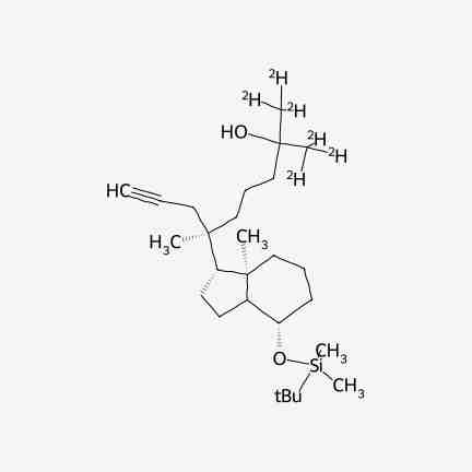 [2H]C([2H])([2H])C(O)(CCC[C@](C)(CC#C)[C@H]1CCC2[C@@H](O[Si](C)(C)C(C)(C)C)CCC[C@@]21C)C([2H])([2H])[2H]